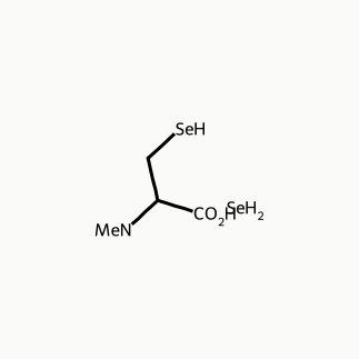 CNC(C[SeH])C(=O)O.[SeH2]